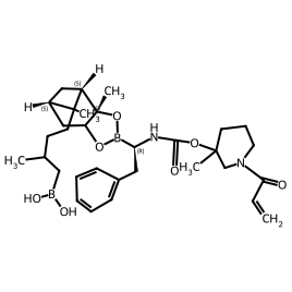 C=CC(=O)N1CCCC(C)(OC(=O)N[C@@H](Cc2ccccc2)B2OC3C[C@@H]4C[C@@H](C4(C)CCC(C)CB(O)O)[C@]3(C)O2)C1